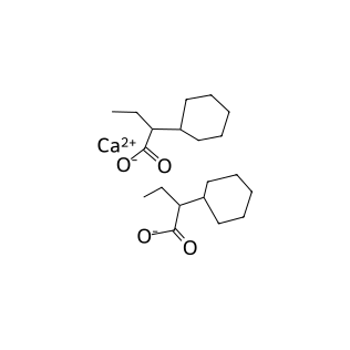 CCC(C(=O)[O-])C1CCCCC1.CCC(C(=O)[O-])C1CCCCC1.[Ca+2]